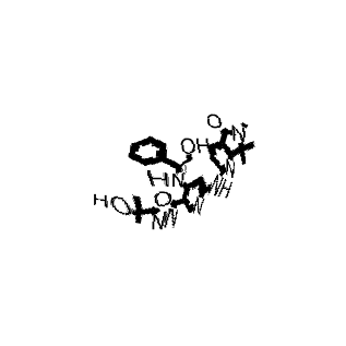 CN1C(=O)c2ccc(Nc3cc(N[C@H](CO)c4ccccc4)c(-c4nnc(C(C)(C)O)o4)cn3)nc2C1(C)C